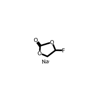 O=C1OCC(F)O1.[Na]